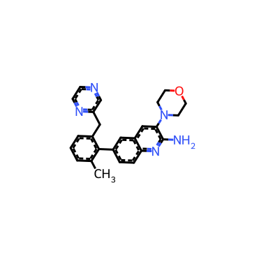 Cc1cccc(Cc2cnccn2)c1-c1ccc2nc(N)c(N3CCOCC3)cc2c1